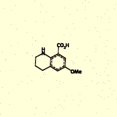 COc1cc2c(c(C(=O)O)c1)NCCC2